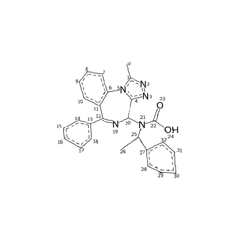 Cc1nnc2n1-c1ccccc1C(c1ccccc1)=NC2N(C(=O)O)C(C)c1ccccc1